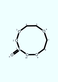 O=S1OOCCOCCOO1